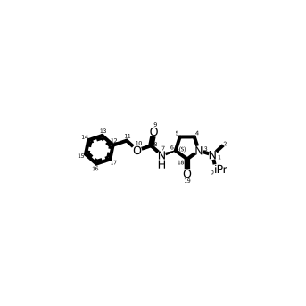 CC(C)N(C)N1CC[C@H](NC(=O)OCc2ccccc2)C1=O